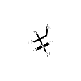 CCC(C)(S)S(=O)(=O)O